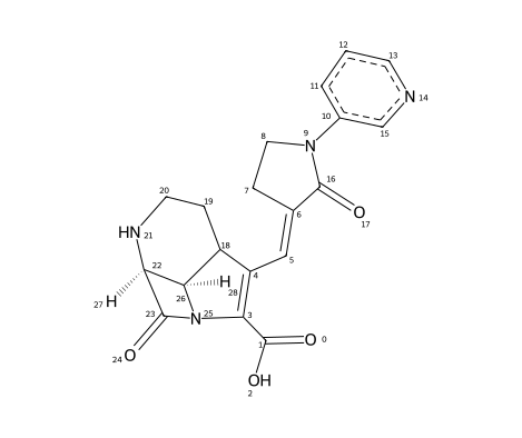 O=C(O)C1=C(/C=C2\CCN(c3cccnc3)C2=O)C2CCN[C@@H]3C(=O)N1[C@H]23